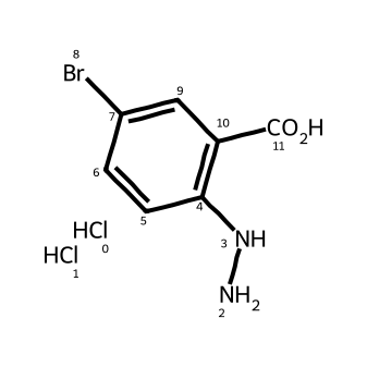 Cl.Cl.NNc1ccc(Br)cc1C(=O)O